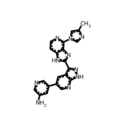 Cc1cn(-c2nccc3[nH]c(-c4n[nH]c5ncc(-c6cncc(N)c6)cc45)nc23)cn1